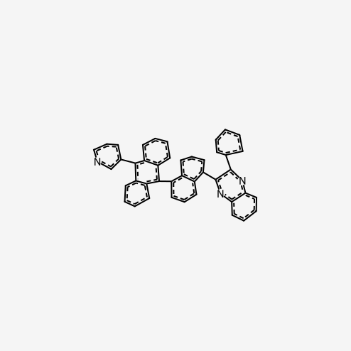 c1ccc(-c2nc3ccccc3nc2-c2cccc3c(-c4c5ccccc5c(-c5cccnc5)c5ccccc45)cccc23)cc1